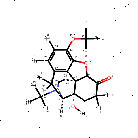 [2H]O[C@@]12CC([2H])([2H])C(=O)C3Oc4c(OC([2H])([2H])[2H])c([2H])c([2H])c5c4[C@@]31CCN(C([2H])([2H])[2H])[C@]2([2H])C5([2H])[2H]